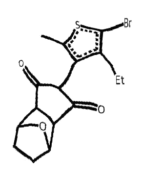 CCc1c(Br)sc(C)c1C1C(=O)C2C3CCC(O3)C2C1=O